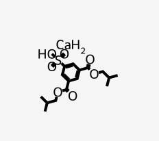 CC(C)COC(=O)c1cc(C(=O)OCC(C)C)cc(S(=O)(=O)O)c1.[CaH2]